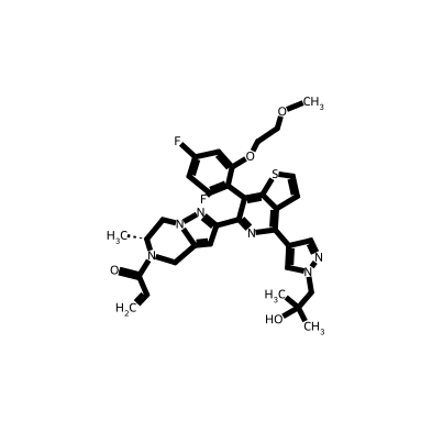 C=CC(=O)N1Cc2cc(-c3nc(-c4cnn(CC(C)(C)O)c4)c4ccsc4c3-c3c(F)cc(F)cc3OCCOC)nn2C[C@H]1C